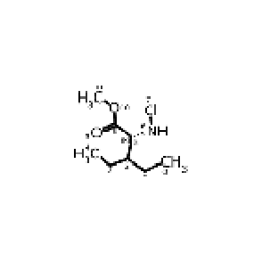 CCC(CC)[C@@H](NCl)C(=O)OC